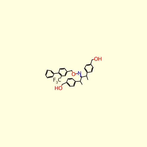 CC(C(=NOCc1ccc(-c2ccccc2)c(C(F)(F)F)c1)C(C)c1ccc(CO)cc1)c1ccc(CO)cc1